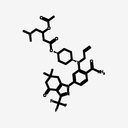 C=CCN(c1cc(-n2nc(C(F)(F)F)c3c2CC(C)(C)CC3=O)ccc1C(N)=O)[C@H]1CC[C@@H](OC(=O)CC(CN(C)C)OC(C)=O)CC1